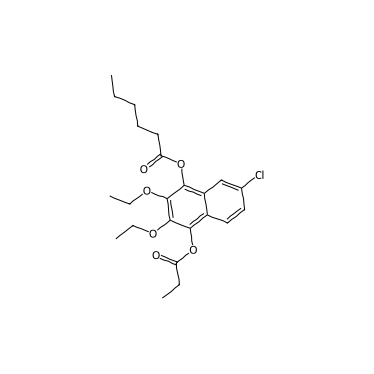 CCCCCC(=O)Oc1c(OCC)c(OCC)c(OC(=O)CC)c2ccc(Cl)cc12